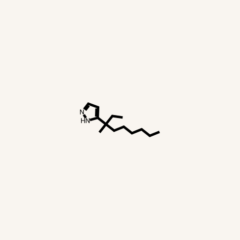 CCCCCCC(C)(CC)c1ccn[nH]1